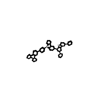 c1ccc(-c2ccc3sc4c(-c5ccc6c(c5)c5ccccc5n6-c5ccc(-c6ccc7c8ccccc8c8ccccc8c7c6)cc5)cc(-c5ccccc5)cc4c3c2)cc1